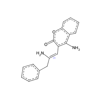 N/C(=C\c1c(N)c2ccccc2oc1=O)Cc1ccccc1